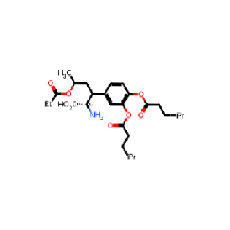 CCC(=O)OC(C)CC(c1ccc(OC(=O)CCC(C)C)c(OC(=O)CCC(C)C)c1)[C@H](N)C(=O)O